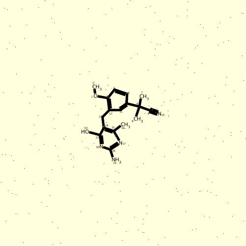 COc1ccc(C(C)(C)C#N)cc1Cc1c(C)nc(N)nc1O